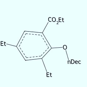 CCCCCCCCCCOc1c(CC)cc(CC)cc1C(=O)OCC